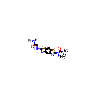 CCN(CC)C(=O)CNc1nc2cc3nc(N(C)C(=O)N(CC)CC)sc3cc2s1